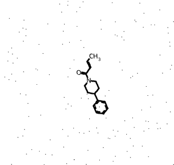 C/C=C/C(=O)N1CCC(c2ccccc2)CC1